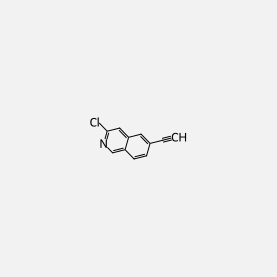 C#Cc1ccc2cnc(Cl)cc2c1